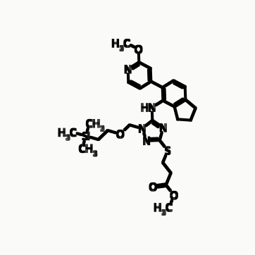 COC(=O)CCSc1nc(Nc2c(-c3ccnc(OC)c3)ccc3c2CCC3)n(COCC[Si](C)(C)C)n1